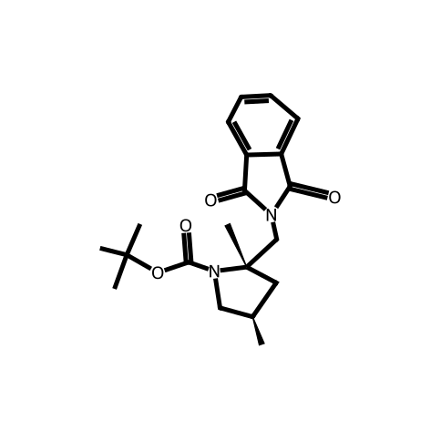 C[C@H]1CN(C(=O)OC(C)(C)C)[C@](C)(CN2C(=O)c3ccccc3C2=O)C1